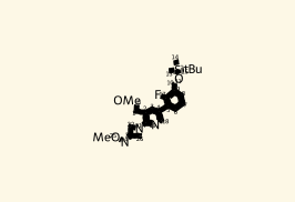 COCc1cc(-c2cccc(CO[Si](C)(C)C(C)(C)C)c2F)cnc1N1CC(=NOC)C1